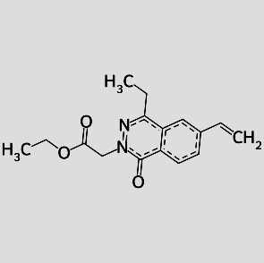 C=Cc1ccc2c(=O)n(CC(=O)OCC)nc(CC)c2c1